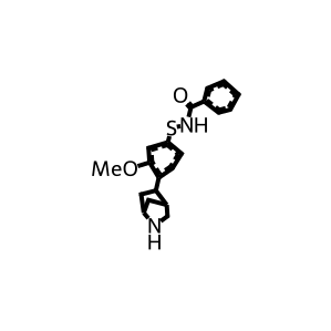 COc1cc(SNC(=O)c2ccccc2)ccc1C1CC2CC1CN2